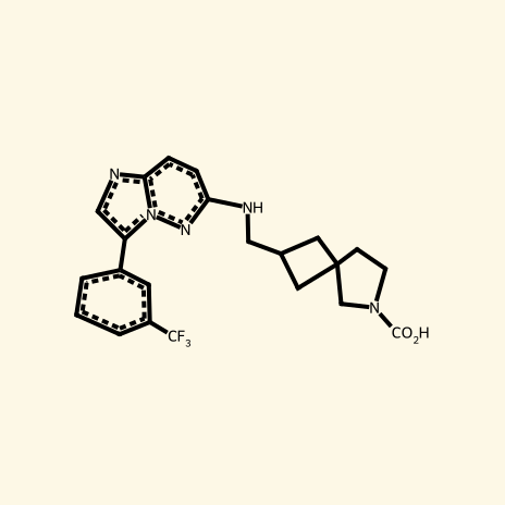 O=C(O)N1CCC2(CC(CNc3ccc4ncc(-c5cccc(C(F)(F)F)c5)n4n3)C2)C1